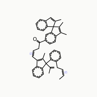 C=C(C)C1(c2ccccc2C/C=C\C)C(C)=C(/C=C\CC(=O)c2ccc3c(c2)C2(C(C)=Cc4ccccc42)C(C)=C3C)c2ccccc21